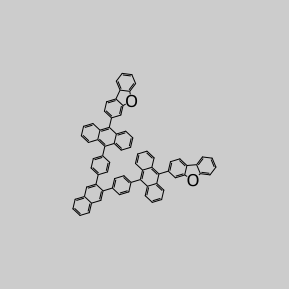 c1ccc2cc(-c3ccc(-c4c5ccccc5c(-c5ccc6c(c5)oc5ccccc56)c5ccccc45)cc3)c(-c3ccc(-c4c5ccccc5c(-c5ccc6c(c5)oc5ccccc56)c5ccccc45)cc3)cc2c1